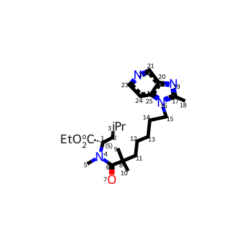 CCOC(=O)[C@H](CC(C)C)N(C)C(=O)C(C)(C)CCCCCn1c(C)nc2cnccc21